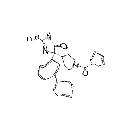 CN1C(=O)C(c2cccc(-c3ccccc3)c2)(C2CCN(C(=O)c3ccccc3)CC2)N=C1N